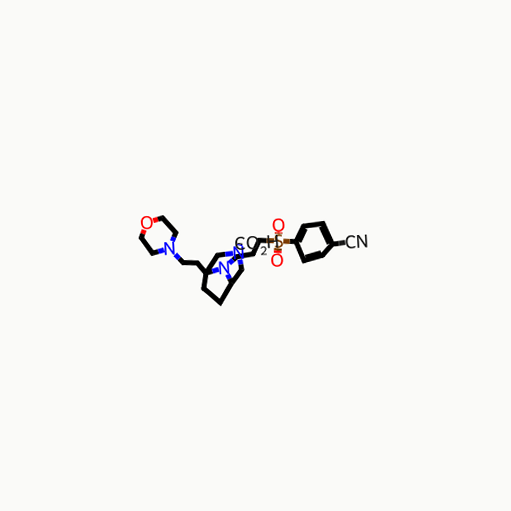 N#Cc1ccc(S(=O)(=O)CCCN2C3CCC2(CCN2CCOCC2)CN(C(=O)O)C3)cc1